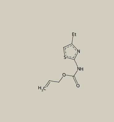 C=CCOC(=O)Nc1nc(CC)cs1